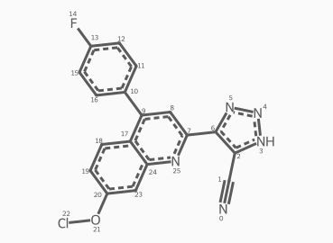 N#Cc1[nH]nnc1-c1cc(-c2ccc(F)cc2)c2ccc(OCl)cc2n1